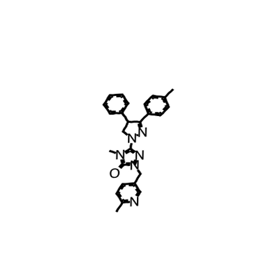 Cc1ccc(C2=NN(c3nn(Cc4ccc(C)nc4)c(=O)n3C)CC2c2ccccc2)cc1